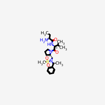 CC[C@H](N)C(=O)N[C@H](C(=O)N1CCC[C@H]1CN([C@H](C)c1ccccc1)S(C)(=O)=O)C(C)C